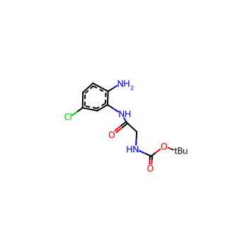 CC(C)(C)OC(=O)NCC(=O)Nc1cc(Cl)ccc1N